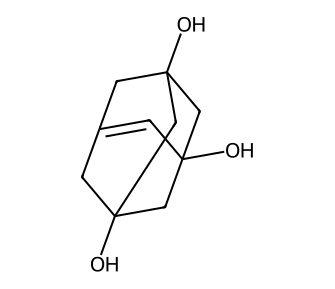 OC12C=C3CC(O)(C1)CC(O)(C3)C2